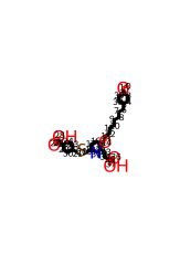 COc1ccc(CCCCCCCCOc2ccc(CSCc3ccc(C(=O)O)cc3)nc2C=CC(=O)O)cc1